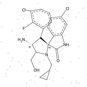 N[C@H]1C(CO)N(CC2CC2)[C@]2(C(=O)Nc3cc(Cl)ccc32)C1c1cccc(Cl)c1F